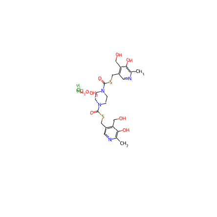 Cc1ncc(CSC(=O)N2CCN(C(=O)SCc3cnc(C)c(O)c3CO)CC2)c(CO)c1O.Cl.Cl.O.O